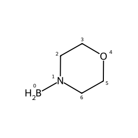 BN1CCOCC1